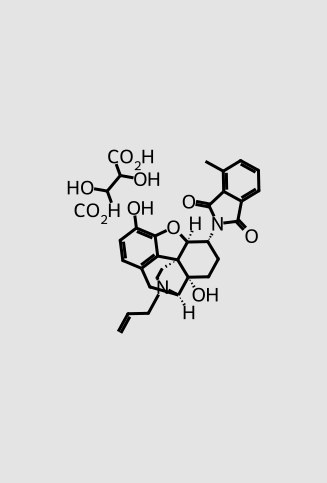 C=CCN1CC[C@]23c4c5ccc(O)c4O[C@H]2[C@H](N2C(=O)c4cccc(C)c4C2=O)CC[C@@]3(O)[C@H]1C5.O=C(O)C(O)C(O)C(=O)O